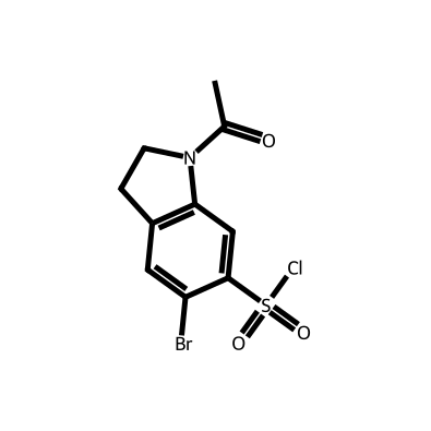 CC(=O)N1CCc2cc(Br)c(S(=O)(=O)Cl)cc21